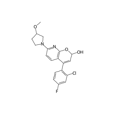 COC1CCN(c2ccc3c(n2)OC(O)C=C3c2ccc(F)cc2Cl)C1